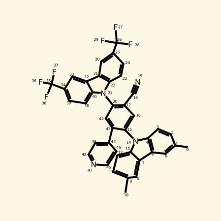 Cc1ccc2c(c1)c1cc(C)ccc1n2-c1cc(C#N)c(-n2c3ccc(C(F)(F)F)cc3c3cc(C(F)(F)F)ccc32)cc1-c1ccncc1